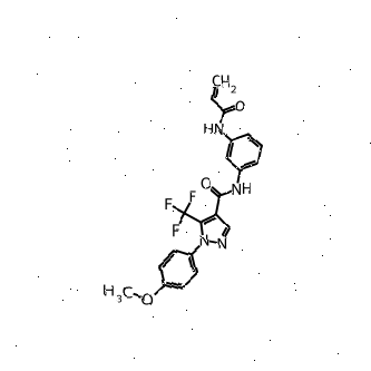 C=CC(=O)Nc1cccc(NC(=O)c2cnn(-c3ccc(OC)cc3)c2C(F)(F)F)c1